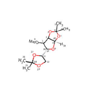 COC1C2OC(C)(C)O[C@H]2O[C@@H]1C1COC(C)(C)O1